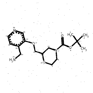 CC(C)(C)OC(=O)N1CCOC(COc2cnccc2CN)C1